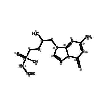 CCCCCCCCCCNP(=O)(O)COC(C)CN1C=NC2C(=O)N=C(N)N=C21